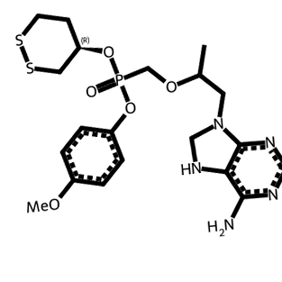 COc1ccc(OP(=O)(COC(C)CN2CNc3c(N)ncnc32)O[C@@H]2CCSSC2)cc1